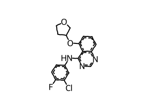 Fc1ccc(Nc2ncnc3cccc(OC4CCOC4)c23)cc1Cl